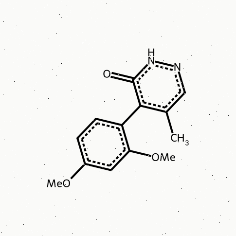 COc1ccc(-c2c(C)cn[nH]c2=O)c(OC)c1